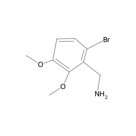 COc1ccc(Br)c(CN)c1OC